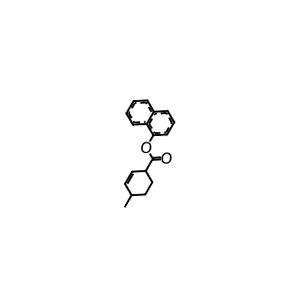 CC1C=CC(C(=O)Oc2cccc3ccccc23)CC1